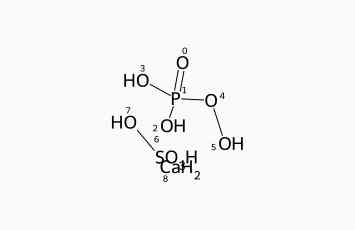 O=P(O)(O)OO.O=S(=O)(O)O.[CaH2]